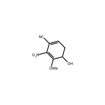 COC1=C([N+](=O)[O-])C(C#N)=CCC1O